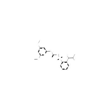 COc1cc(NC(=O)NS(=O)(=O)c2ccccc2C(O)C(C)F)nc(OC)c1